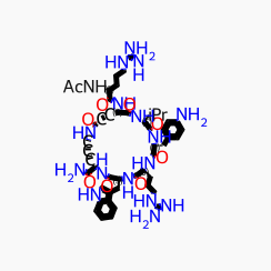 CC(=O)N[C@@H](CCCNC(=N)N)C(=O)N[C@H]1CCC(=O)NCCCC(C(N)=O)NC(=O)[C@H](Cc2c[nH]c3ccccc23)NC(=O)[C@H](CCCNC(=N)N)NC(=O)[C@@H](Cc2ccc(N)cc2)NC(=O)[C@H](C(C)C)NC1=O